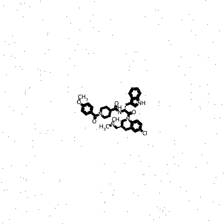 COc1ccc(C(=O)N2CCC(C(=O)N[C@H](Cc3c[nH]c4ccccc34)C(=O)N3C[C@H](CN(C)C)Cc4cc(Cl)ccc43)CC2)cc1